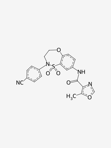 Cc1ocnc1C(=O)Nc1ccc2c(c1)S(=O)(=O)N(c1ccc(C#N)cc1)CCO2